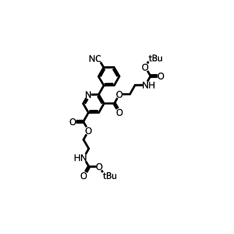 CC(C)(C)OC(=O)NCCOC(=O)c1cnc(-c2cccc(C#N)c2)c(C(=O)OCCNC(=O)OC(C)(C)C)c1